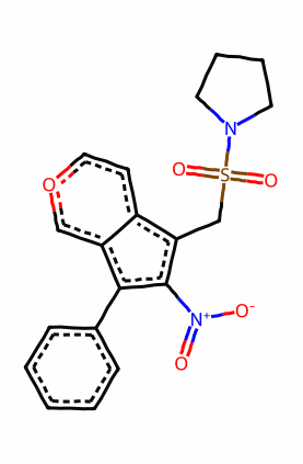 O=[N+]([O-])c1c(CS(=O)(=O)N2CCCC2)c2ccocc-2c1-c1ccccc1